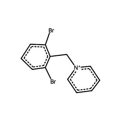 Brc1cccc(Br)c1C[n+]1ccccc1